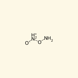 NO[NH2+][O-]